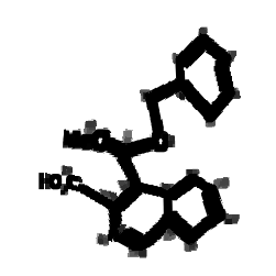 COC(OCc1ccccc1)c1c(C(=O)O)ncc2ccccc12